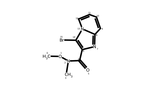 CON(C)C(=O)c1nc2ccccn2c1Br